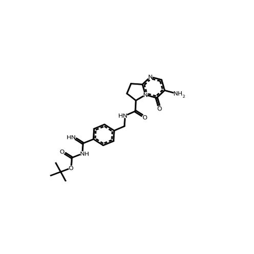 CC(C)(C)OC(=O)NC(=N)c1ccc(CNC(=O)C2CCc3ncc(N)c(=O)n32)cc1